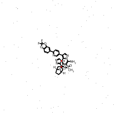 CS(=O)(=O)c1c([C@H]2C[C@H]3CC[C@@H](C2)N3C(=O)c2nnc[nH]2)nc2c(-c3ccc(-c4ccc5c(c4)OC(F)(F)O5)nc3)cnn2c1N